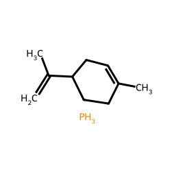 C=C(C)C1CC=C(C)CC1.P